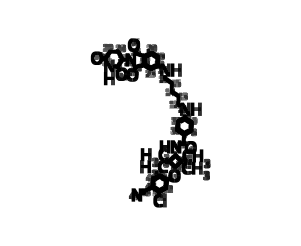 CC1(C)[C@H](NC(=O)c2ccc(NCCCCCNc3ccc4c(c3)C(=O)N(C3CCC(=O)NC3=O)C4=O)cc2)C(C)(C)[C@H]1Oc1ccc(C#N)c(Cl)c1